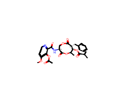 COc1ccnc(C(=O)N[C@H]2COC(=O)[C@H](Cc3ccccc3)[C@@H](OC(=O)C(C)C)C(C)OC2=O)c1OC(C)=O